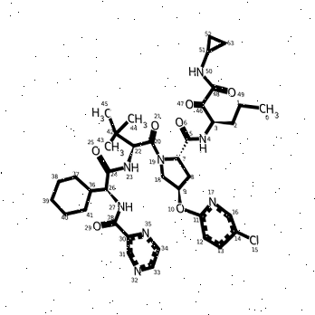 CCC[C@@H](NC(=O)[C@@H]1C[C@@H](Oc2ccc(Cl)cn2)CN1C(=O)[C@@H](NC(=O)[C@@H](NC(=O)c1cnccn1)C1CCCCC1)C(C)(C)C)C(=O)C(=O)NC1CC1